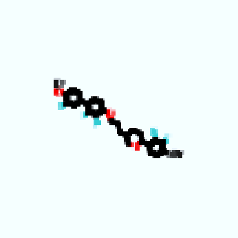 CCCc1ccc(C2CCC(CCCOc3ccc(-c4ccc(OCC)c(F)c4)c(F)c3F)CO2)c(F)c1F